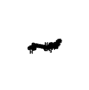 C[C@H]1CN(C2CC3CN(c4ccc5c(c4)C(=O)N(C4CCC(=O)NC4=O)C5=O)CC3C2)CCN1c1ccc(Nc2cc(-c3ccnc(N4CCc5c(sc6c5CCCC6)C4=O)c3CO)cn(C)c2=O)nc1